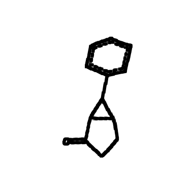 O=C1CCC2C1C2c1ccccc1